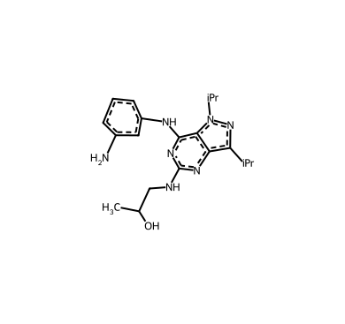 CC(O)CNc1nc(Nc2cccc(N)c2)c2c(n1)c(C(C)C)nn2C(C)C